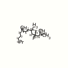 CC(C)CCCN(C)CCC(C)CC(F)(F)CN(C)C